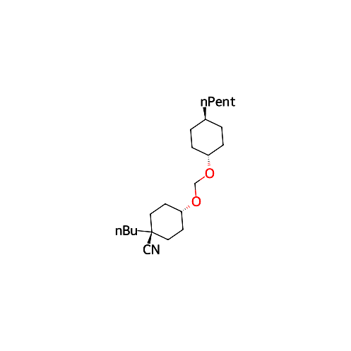 CCCCC[C@H]1CC[C@H](OCO[C@H]2CC[C@@](C#N)(CCCC)CC2)CC1